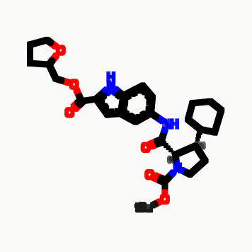 CC(C)(C)OC(=O)N1CC[C@@H](C2CCCCC2)[C@H]1C(=O)Nc1ccc2[nH]c(C(=O)OCC3CCCO3)cc2c1